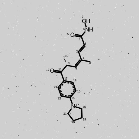 CC(C=CC(=O)NO)=C[C@@H](C)C(=O)c1ccc(N2CCCC2)cc1